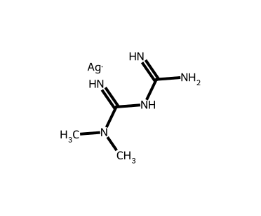 CN(C)C(=N)NC(=N)N.[Ag]